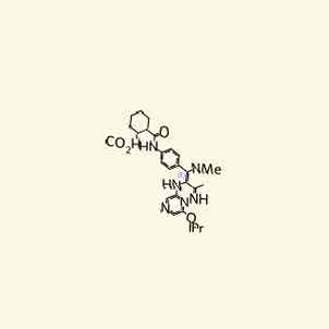 CN/C(=C(/Nc1cncc(OC(C)C)n1)C(C)=N)c1ccc(NC(=O)C2CCCCC2C(=O)O)cc1